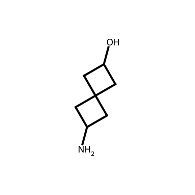 NC1CC2(C1)CC(O)C2